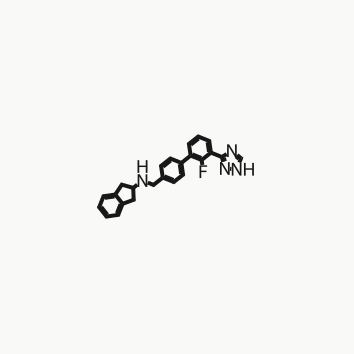 Fc1c(-c2ccc(CNC3Cc4ccccc4C3)cc2)cccc1-c1nc[nH]n1